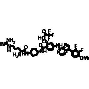 CCc1cc(Nc2nccn3c(-c4ccc(OC)c(F)c4F)cnc23)ccc1C(=O)NC1CCC(NC(=O)C(N)CCCNC(=N)N)CC1.O=C(O)C(F)(F)F